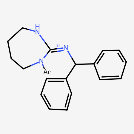 CC(=O)N1CCCCN/C1=N/C(c1ccccc1)c1ccccc1